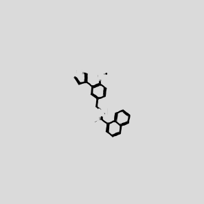 COc1ccc(CN[C@H](C)c2cccc3ccccc23)cc1-c1ccoc1